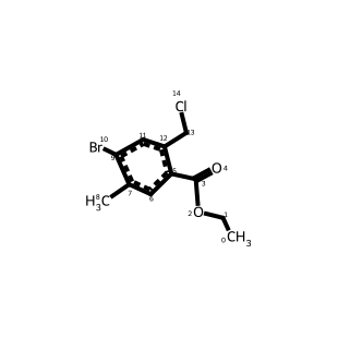 CCOC(=O)c1cc(C)c(Br)cc1CCl